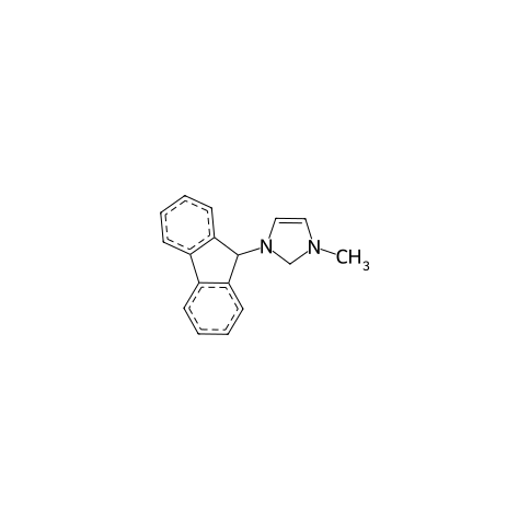 CN1C=CN(C2c3ccccc3-c3ccccc32)C1